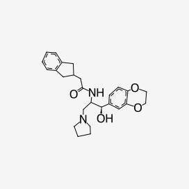 O=C(CC1Cc2ccccc2C1)NC(CN1CCCC1)[C@H](O)c1ccc2c(c1)OCCO2